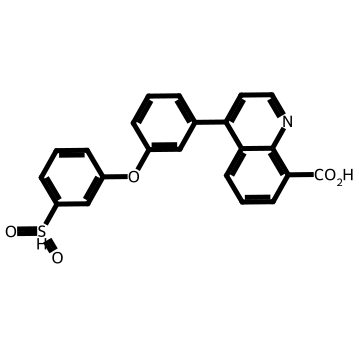 O=C(O)c1cccc2c(-c3cccc(Oc4cccc([SH](=O)=O)c4)c3)ccnc12